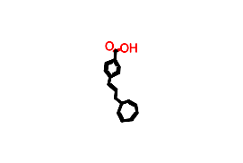 O=C(O)c1ccc(/C=C/CC2C=CC=CC=C2)cc1